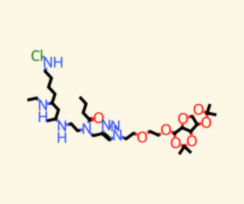 CCCC(=O)N(CCNC(C)CC(CCCCNCl)NCC)Cc1cn(CCOCCOC2OC(C)(C)OC3C2OC2OC(C)(C)OC23)nn1